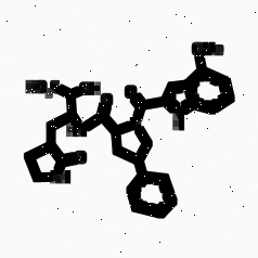 COc1cccc2[nH]c(C(=O)N3CC(c4ccccc4)CC3C(=O)NC(CC3CCNC3=O)C(O)S(=O)(=O)O)cc12